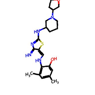 Cc1cc(C)c(N/C=C2/SC(NC3CCCN(C4CCOC4)C3)=NC2=N)c(O)c1